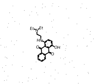 CCN(CC)CCNc1ccc(O)c2c1C(=O)c1ccccc1C2=O